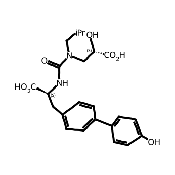 CC(C)CN(C[C@H](O)C(=O)O)C(=O)N[C@@H](Cc1ccc(-c2ccc(O)cc2)cc1)C(=O)O